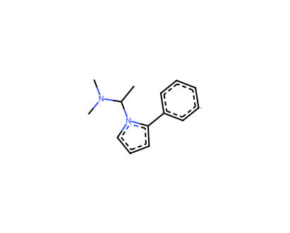 CC(N(C)C)n1cccc1-c1c[c]ccc1